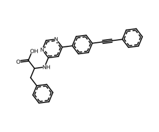 O=C(O)C(Cc1ccccc1)Nc1cc(-c2ccc(C#Cc3ccccc3)cc2)ncn1